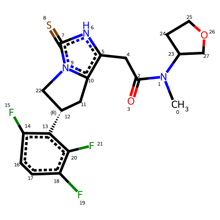 CN(C(=O)Cc1[nH]c(=S)n2c1C[C@H](c1c(F)ccc(F)c1F)C2)C1CCOC1